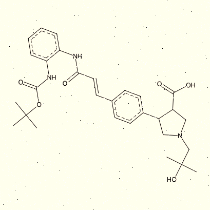 CC(C)(O)CN1CC(C(=O)O)C(c2ccc(/C=C/C(=O)Nc3ccccc3NC(=O)OC(C)(C)C)cc2)C1